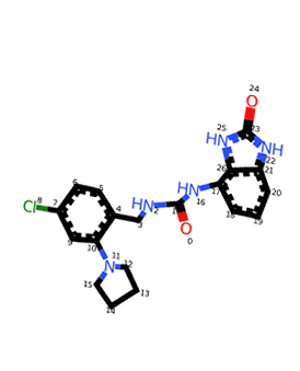 O=C(NCc1ccc(Cl)cc1N1CCCC1)Nc1cccc2[nH]c(=O)[nH]c12